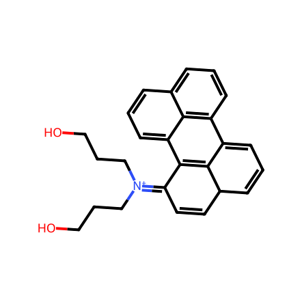 OCCC[N+](CCCO)=C1C=CC2C=CC=c3c2c1c1cccc2cccc3c21